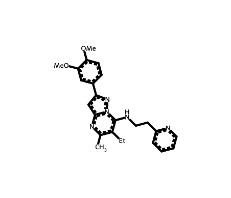 CCc1c(C)nc2cc(-c3ccc(OC)c(OC)c3)nn2c1NCCc1ccccn1